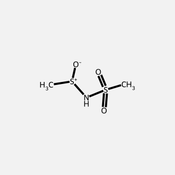 C[S+]([O-])NS(C)(=O)=O